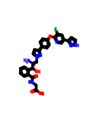 N[C@@H](Cn1ccc(-c2ccc(Oc3ncc(-c4cc[nH]n4)cc3F)cc2)n1)C(O)c1ccccc1C(=O)NCC(=O)O